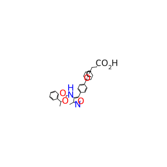 Cc1noc(-c2ccc(C34CCC(CCC(=O)O)(CC3)CO4)cc2)c1NC(=O)OC(C)c1ccccc1